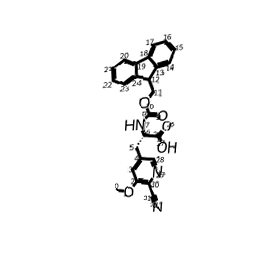 COc1cc(C[C@H](NC(=O)OCC2c3ccccc3-c3ccccc32)C(=O)O)cnc1C#N